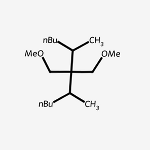 CCCCC(C)C(COC)(COC)C(C)CCCC